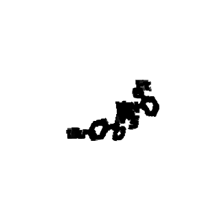 CCOc1ccccc1NC(=S)NC(=O)c1ccc(C(C)(C)C)cc1